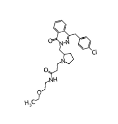 CCOCCNC(=O)CCN1CCCC1Cn1nc(Cc2ccc(Cl)cc2)c2ccccc2c1=O